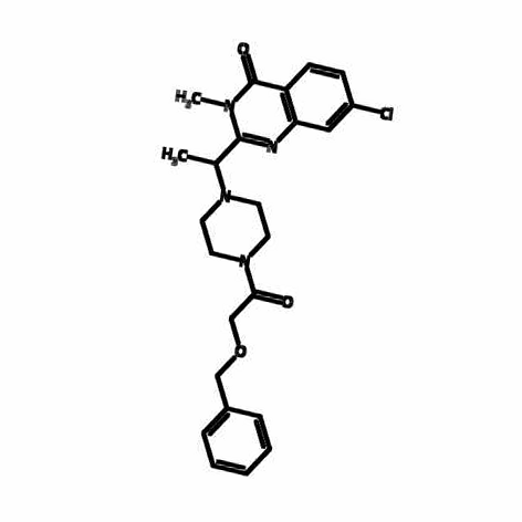 CC(c1nc2cc(Cl)ccc2c(=O)n1C)N1CCN(C(=O)COCc2ccccc2)CC1